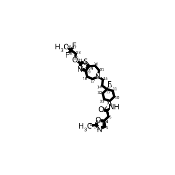 Cc1ncc(CC(=O)N[C@H]2CC[C@](F)(CCN3CCc4nc(OCC(C)(F)F)sc4CC3)CC2)o1